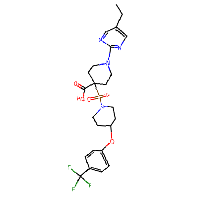 CCc1cnc(N2CCC(C(=O)O)(S(=O)(=O)N3CCC(Oc4ccc(C(F)(F)F)cc4)CC3)CC2)nc1